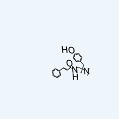 CN(C)[C@](C)(CNC(=O)/C=C/c1ccccc1)Cc1ccc(O)cc1